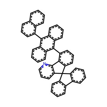 c1ccc2c(c1)-c1ccccc1C21c2cccnc2-c2c(-c3c4ccccc4c(-c4cccc5ccccc45)c4ccccc34)cccc21